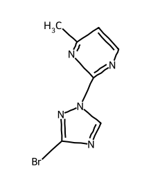 Cc1ccnc(-n2cnc(Br)n2)n1